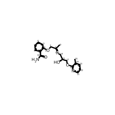 CC(COc1ccccc1C(N)=O)=NCC(O)COc1ncccc1C